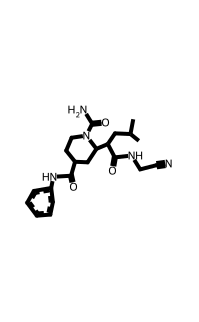 CC(C)CC(C(=O)NCC#N)C1CC(C(=O)Nc2ccccc2)CCN1C(N)=O